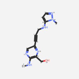 CCNc1ncc(C#CCNc2ccnn2C)nc1CO